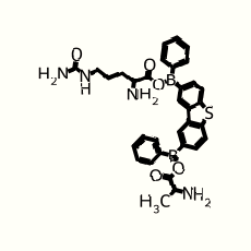 CC(N)C(=O)OB(c1ccccc1)c1ccc2sc3ccc(B(OC(=O)C(N)CCCNC(N)=O)c4ccccc4)cc3c2c1